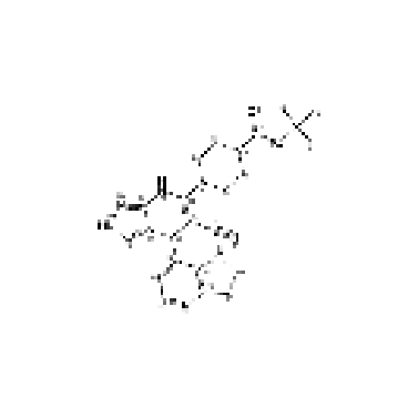 CC(C)(C)OC(=O)N1CCC(C2=C(C#N)C(c3cccc4c3OCC4)c3c[nH]nc3N2)CC1